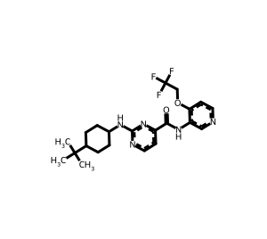 CC(C)(C)C1CCC(Nc2nccc(C(=O)Nc3cnccc3OCC(F)(F)F)n2)CC1